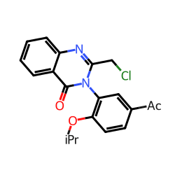 CC(=O)c1ccc(OC(C)C)c(-n2c(CCl)nc3ccccc3c2=O)c1